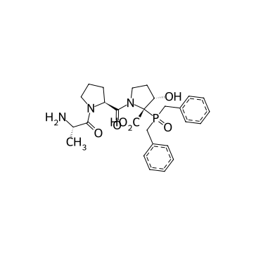 C[C@H](N)C(=O)N1CCC[C@H]1C(=O)N1CC[C@H](O)[C@]1(C(=O)O)P(=O)(Cc1ccccc1)Cc1ccccc1